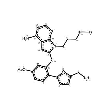 COc1ccc(-c2ccc(CN)o2)c(Sc2nc3c(N)ncnc3n2CCCNC(C)C)c1